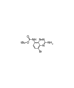 CC(C)(C)OC(=O)Nc1ccc(Br)c2nc(N)nnc12